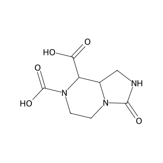 O=C(O)C1C2CNC(=O)N2CCN1C(=O)O